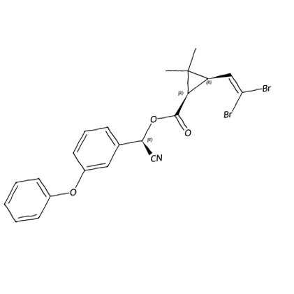 CC1(C)[C@H](C(=O)O[C@@H](C#N)c2cccc(Oc3ccccc3)c2)[C@@H]1C=C(Br)Br